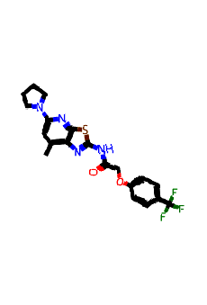 Cc1cc(N2CCCC2)nc2sc(NC(=O)COc3ccc(C(F)(F)F)cc3)nc12